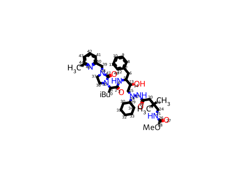 CCC(C)C(C(=O)NC(Cc1ccccc1)C(O)CN(NC(=O)CC(C)(C)CNC(=O)OC)C1CCCCC1)N1CCN(Cc2cccc(C)n2)C1=O